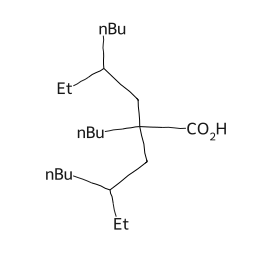 CCCCC(CC)CC(CCCC)(CC(CC)CCCC)C(=O)O